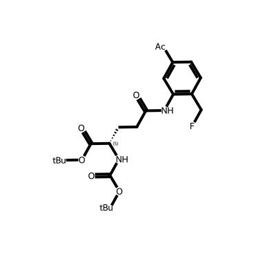 CC(=O)c1ccc(CF)c(NC(=O)CC[C@H](NC(=O)OC(C)(C)C)C(=O)OC(C)(C)C)c1